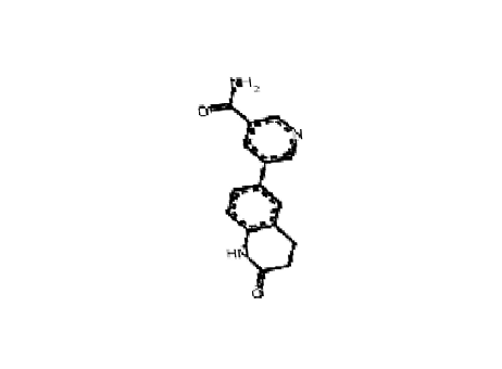 NC(=O)c1cncc(-c2ccc3c(c2)CCC(=O)N3)c1